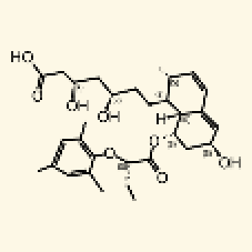 CC[C@H](Oc1c(C)cc(C)cc1C)C(=O)O[C@H]1C[C@H](O)C=C2C=C[C@@H](C)[C@H](CC[C@@H](O)C[C@@H](O)CC(=O)O)[C@H]21